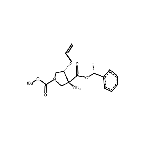 C=CC[C@H]1CN(C(=O)OC(C)(C)C)C[C@@]1(N)C(=O)O[C@H](C)c1ccccc1